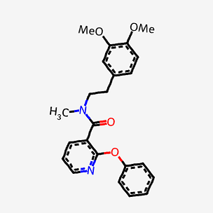 COc1ccc(CCN(C)C(=O)c2cccnc2Oc2ccccc2)cc1OC